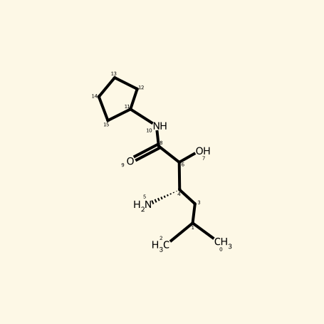 CC(C)C[C@H](N)C(O)C(=O)NC1CCCC1